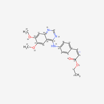 CCOC(=O)/C=C\c1ccc(Nc2ncnc3cc(OC)c(OC)cc23)cc1